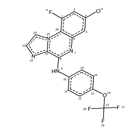 Fc1cc(Cl)cc2nc(Nc3ccc(OC(F)(F)F)cc3)c3nccn3c12